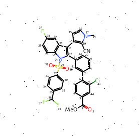 COC(=O)c1ccc(-c2cccc(-c3c(-c4ccn(C)c4C#N)c4cc(F)ccc4n3S(=O)(=O)c3ccc(C(F)F)cc3)c2)c(Cl)c1